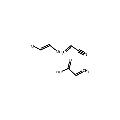 C=CC#N.C=CC(=O)O.ClC=CCl